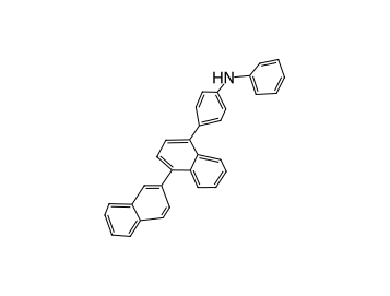 c1ccc(Nc2ccc(-c3ccc(-c4ccc5ccccc5c4)c4ccccc34)cc2)cc1